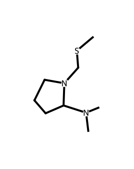 CSCN1CCCC1N(C)C